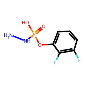 NNP(=O)(O)Oc1cccc(F)c1F